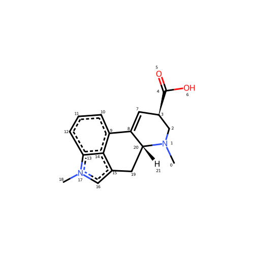 CN1C[C@H](C(=O)O)C=C2c3cccc4c3c(cn4C)C[C@H]21